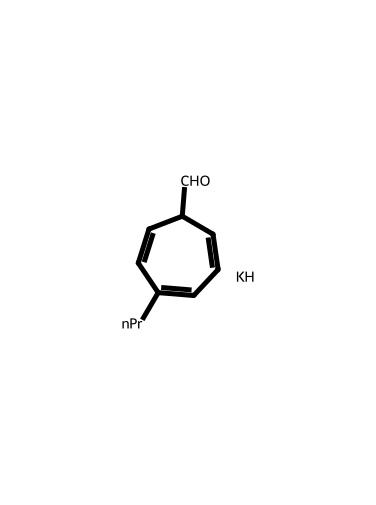 CCCC1=CC=CC(C=O)C=C1.[KH]